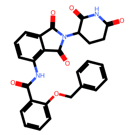 O=C1CCC(N2C(=O)c3cccc(NC(=O)c4ccccc4OCc4ccccc4)c3C2=O)C(=O)N1